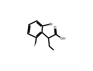 CCC(C(=O)O)c1c(F)cccc1Br